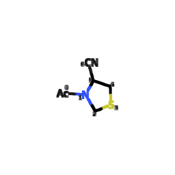 CC(=O)N1CSCC1C#N